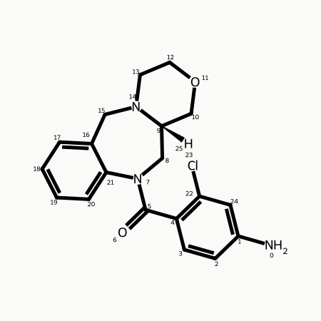 Nc1ccc(C(=O)N2C[C@H]3COCCN3Cc3ccccc32)c(Cl)c1